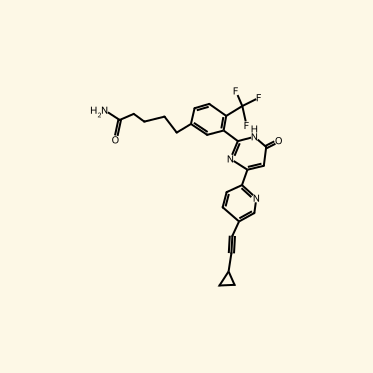 NC(=O)CCCCc1ccc(C(F)(F)F)c(-c2nc(-c3ccc(C#CC4CC4)cn3)cc(=O)[nH]2)c1